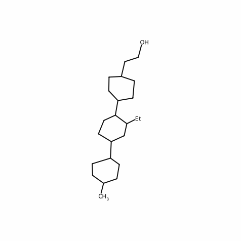 CCC1CC(C2CCC(C)CC2)CCC1C1CCC(CCO)CC1